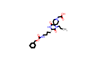 CCCN1C(=O)[C@H](CCCCNC(=O)OCc2ccccc2)NC(=O)C12CCN(CC(=O)O)CC2